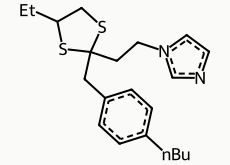 CCCCc1ccc(CC2(CCn3ccnc3)SCC(CC)S2)cc1